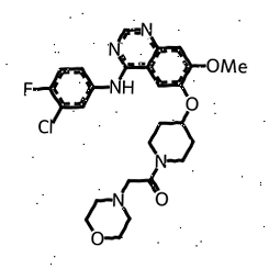 COc1cc2ncnc(Nc3ccc(F)c(Cl)c3)c2cc1OC1CCN(C(=O)CN2CCOCC2)CC1